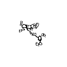 CCOC1=C[C@H](CC=O)C(CCCNCCCc2cc(OCC)cc(OCC)c2)(C(C)C)C(OCC)=C1